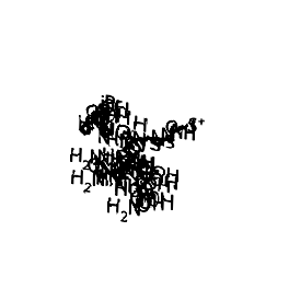 CC(C)C[C@H](NC(=O)[C@H](Cc1ccccc1)NC(=O)c1cnccn1)B(O)O.Cc1c(C(=O)N[C@H](C(=O)N[C@H](C)[C@@H](O)[C@H](C)C(=O)N[C@H](C(=O)NCCc2nc(-c3nc(C(=O)NCCC[S+](C)C)cs3)cs2)[C@@H](C)O)[C@@H](O[C@@H]2O[C@@H](CO)[C@@H](O)[C@H](O)[C@@H]2O[C@H]2O[C@H](CO)[C@@H](O)[C@H](OC(N)=O)[C@@H]2O)c2cnc[nH]2)nc([C@H](CC(N)=O)NC[C@H](N)C(N)=O)[nH]c1=N